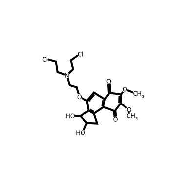 COC1=C(OC)C(=O)c2c(cc(OCCN(CCCl)CCCl)c3c2CC(O)C3O)C1=O